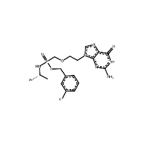 CC(=O)[C@@H](C)NP(=O)(COCCn1cnc2c(=O)[nH]c(N)nc21)OCc1cccc(Cl)c1